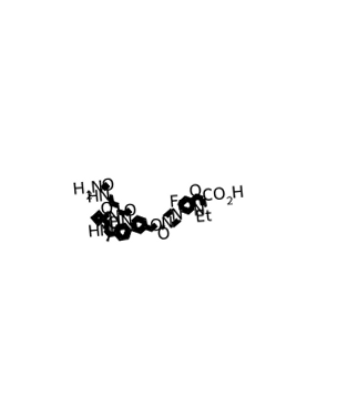 CCn1cc(C(=O)O)c(=O)c2cc(F)c(N3CCN(C(=O)OCc4ccc(NC(=O)[C@H](CCCNC(N)=O)NC(=O)C5(C(=O)N[C@H](C)c6ccccc6)CCC5)cc4)CC3)cc21